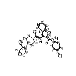 O=C(Nc1ccc(Cl)cn1)c1oc2ccncc2c1NC(=O)[C@H]1CC[C@H](N2CCOCC2=O)CC1